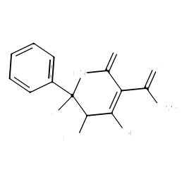 COC(=O)C1=C(O)C(C)C(c2ccccc2)(C(C)(C)C)NC1=O